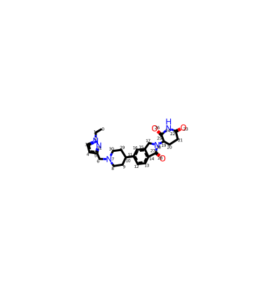 CCn1ccc(CN2CCC(c3ccc4c(c3)CN(C3CCC(=O)NC3=O)C4=O)CC2)n1